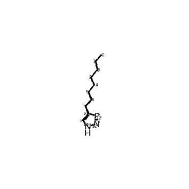 CCCCCCCCc1c[nH]np1